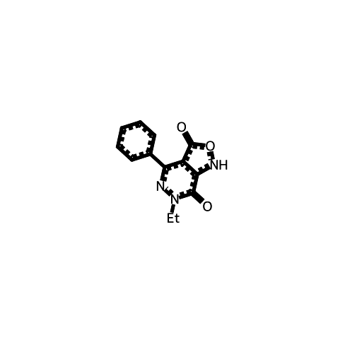 CCn1nc(-c2ccccc2)c2c(=O)o[nH]c2c1=O